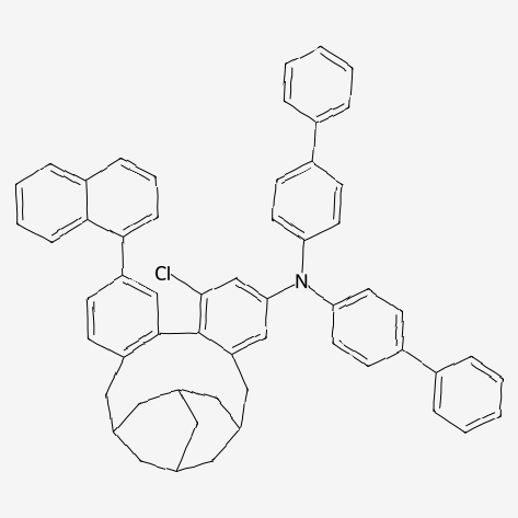 Clc1cc(N(c2ccc(-c3ccccc3)cc2)c2ccc(-c3ccccc3)cc2)cc2c1-c1cc(-c3cccc4ccccc34)ccc1CC1CC3CC(C2)CC(C1)C3